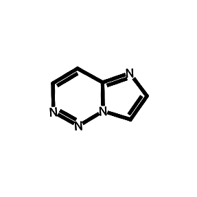 c1cc2nccn2nn1